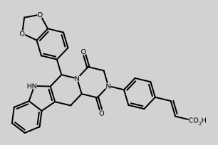 O=C(O)C=Cc1ccc(N2CC(=O)N3C(Cc4c([nH]c5ccccc45)C3c3ccc4c(c3)OCO4)C2=O)cc1